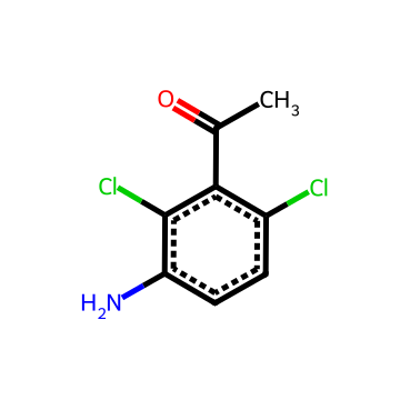 CC(=O)c1c(Cl)ccc(N)c1Cl